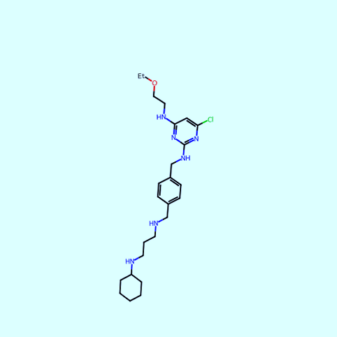 CCOCCNc1cc(Cl)nc(NCc2ccc(CNCCCNC3CCCCC3)cc2)n1